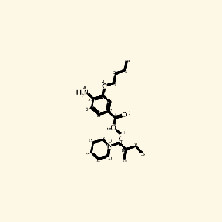 CCCCOc1cc(C(=O)OC[C@H](C(C)CC)N2CCCCC2)ccc1N